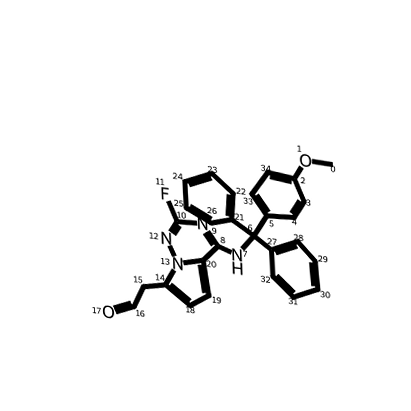 COc1ccc(C(Nc2nc(F)nn3c(CC=O)ccc23)(c2ccccc2)c2ccccc2)cc1